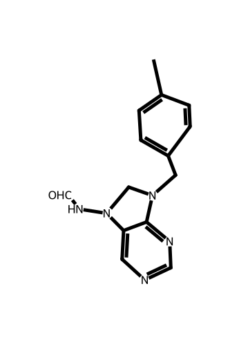 Cc1ccc(CN2CN(NC=O)c3cncnc32)cc1